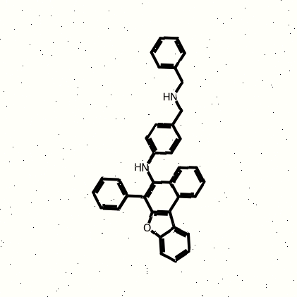 c1ccc(CNCc2ccc(Nc3c(-c4ccccc4)c4oc5ccccc5c4c4ccccc34)cc2)cc1